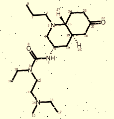 CCCN1C[C@@H](NC(=O)N(CC)CCN(C)CC)C[C@@H]2CC(=O)CC[C@H]21